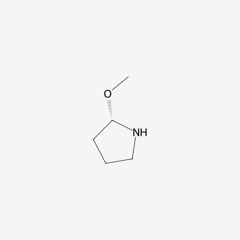 CO[C@H]1CCCN1